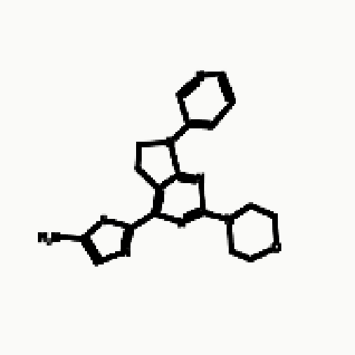 Nc1cnc(-c2nc(N3CCOCC3)nc3c2CCN3c2cccnc2)s1